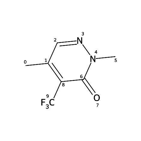 Cc1cnn(C)c(=O)c1C(F)(F)F